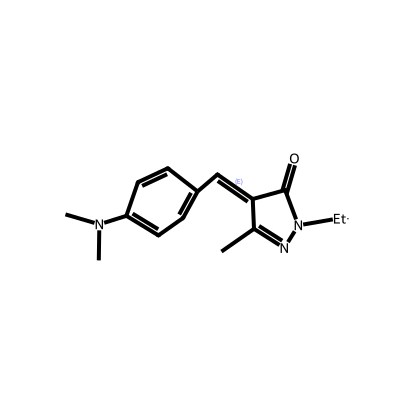 C[CH]N1N=C(C)/C(=C\c2ccc(N(C)C)cc2)C1=O